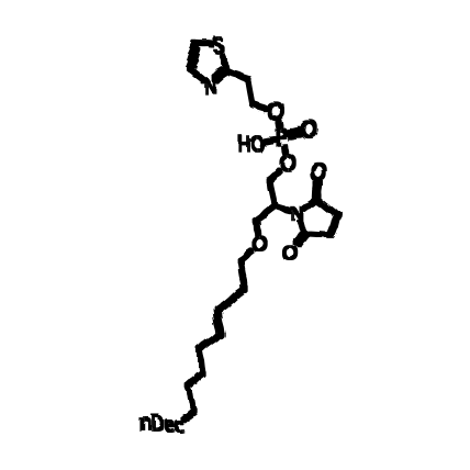 CCCCCCCCCCCCCCCCCCOCC(COP(=O)(O)OCCc1nccs1)N1C(=O)CCC1=O